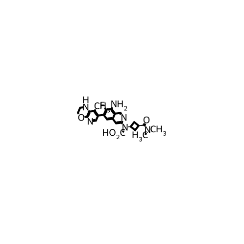 Cc1c(-c2cc3cc(N(C(=O)O)[C@H]4C[C@H](C(=O)N(C)C)C4)ncc3c(N)c2F)cnc2c1NCCO2